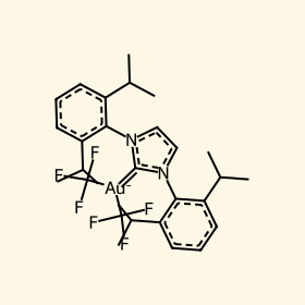 CC(C)c1cccc(C(C)C)c1-n1ccn(-c2c(C(C)C)cccc2C(C)C)[c]1=[Au-]([C](F)(F)F)[C](F)(F)F